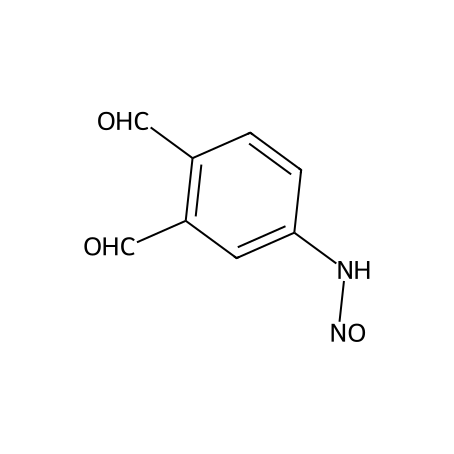 O=Cc1ccc(NN=O)cc1C=O